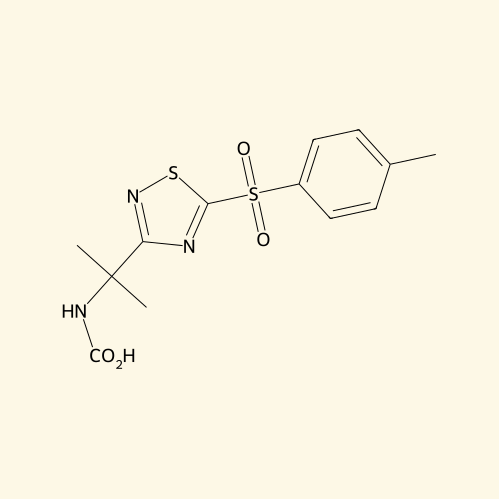 Cc1ccc(S(=O)(=O)c2nc(C(C)(C)NC(=O)O)ns2)cc1